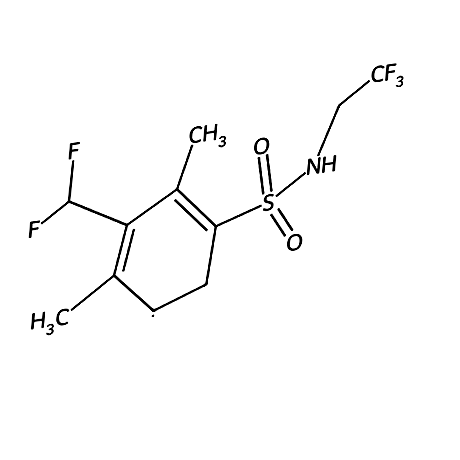 CC1=C(C(F)F)C(C)=C(S(=O)(=O)NCC(F)(F)F)C[CH]1